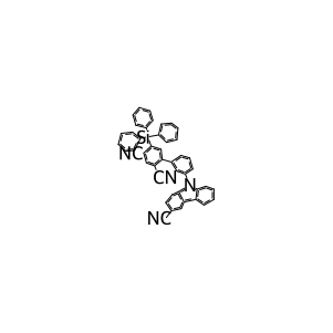 N#Cc1ccc2c(c1)c1ccccc1n2-c1cccc(-c2cc([Si](c3ccccc3)(c3ccccc3)c3ccccc3)c(C#N)cc2C#N)c1